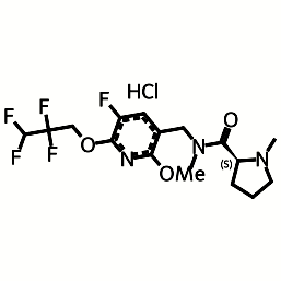 COc1nc(OCC(F)(F)C(F)F)c(F)cc1CN(C)C(=O)[C@@H]1CCCN1C.Cl